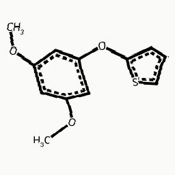 COc1cc(OC)cc(Oc2c[c]cs2)c1